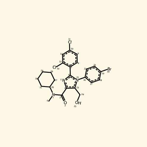 CN(C(=O)c1nc(-c2ccc(Cl)cc2Cl)n(-c2ccc(Br)cc2)c1CO)C1CCCCC1